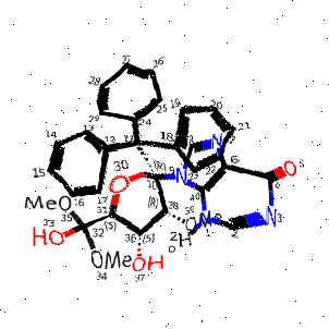 [2H]n1cnc(=O)c2ncn([C@]3(C(c4ccccc4)(c4ccccc4)c4ccccc4)O[C@H](C(O)(OC)OC)[C@@H](O)[C@H]3OC)c21